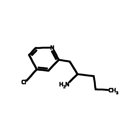 CCCC(N)Cc1cc(Cl)ccn1